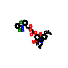 Cc1ccc2c3c1OC1C(OC(=O)COC(=O)Cc4ccccc4Nc4c(Cl)cccc4Cl)CC[C@@]4(O)[C@@H](C2)N(CC2CC2)CC[C@]314